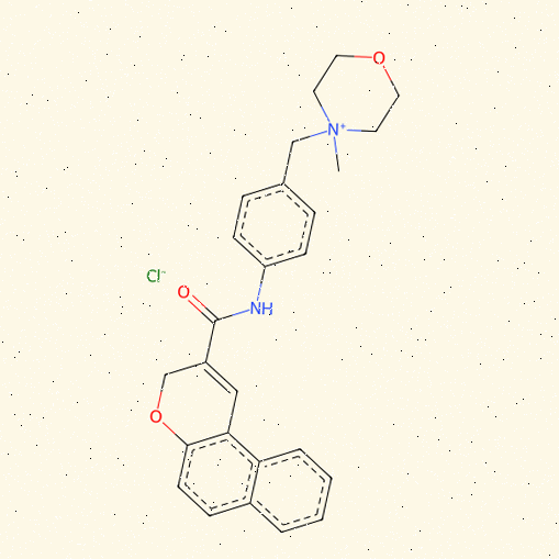 C[N+]1(Cc2ccc(NC(=O)C3=Cc4c(ccc5ccccc45)OC3)cc2)CCOCC1.[Cl-]